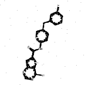 O=C(Nc1ccc(Cc2cccc(F)c2)cn1)c1cc2ncnc(Cl)c2s1